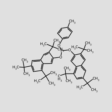 Cc1ccc(OP(Oc2cc3c(C(C)(C)C)cc(C(C)(C)C)cc3cc2C(C)(C)C)Oc2cc3c(C(C)(C)C)cc(C(C)(C)C)cc3cc2C(C)(C)C)cc1